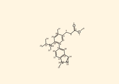 COC(=O)CCc1cc(-c2ccc3c(cnn3C)c2)c(N(C)C(C)C)cc1C